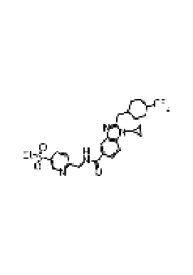 CCS(=O)(=O)c1ccc(CNC(=O)c2ccc3c(c2)nc(CC2CCC(C(F)(F)F)CC2)n3C2CC2)nc1